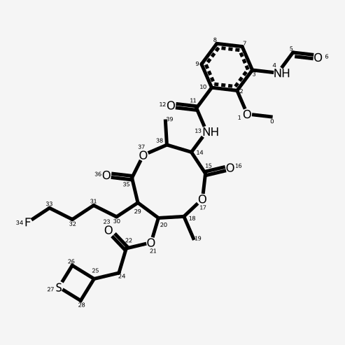 COc1c(NC=O)cccc1C(=O)NC1C(=O)OC(C)C(OC(=O)CC2CSC2)C(CCCCF)C(=O)OC1C